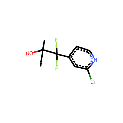 CC(C)(O)C(F)(F)c1ccnc(Cl)c1